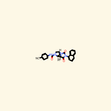 N#Cc1ccc(NC(=O)N2C[C@@H]3C[C@H]2[C@H]2C(=O)N(c4cccc5ccccc45)C(=O)N32)cc1